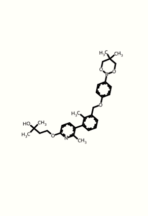 Cc1nc(OCCC(C)(C)O)ccc1-c1cccc(COc2ccc(B3OCC(C)(C)CO3)cc2)c1C